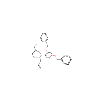 C=CCC1CCC(C=C)CC1c1ccc(OCc2ccccc2)cc1OCc1ccccc1